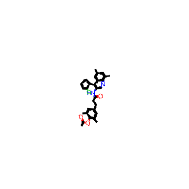 CC(=O)Oc1c(C)cc(CCC(=O)Nc2cnc3c(C)cc(C)cc3c2-c2ccccc2Cl)cc1C